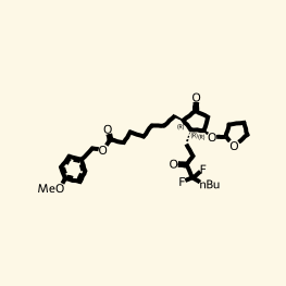 CCCCC(F)(F)C(=O)CC[C@H]1[C@H](OC2CCCO2)CC(=O)[C@@H]1CCCCCCC(=O)OCc1ccc(OC)cc1